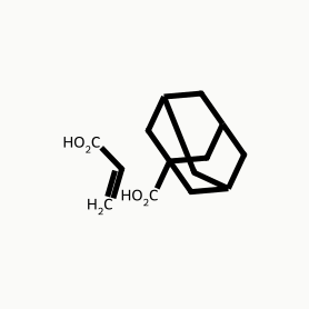 C=CC(=O)O.O=C(O)C12CC3CC(CC(C3)C1)C2